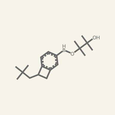 CC(C)(C)CC1Cc2cc(BOC(C)(C)C(C)(C)O)ccc21